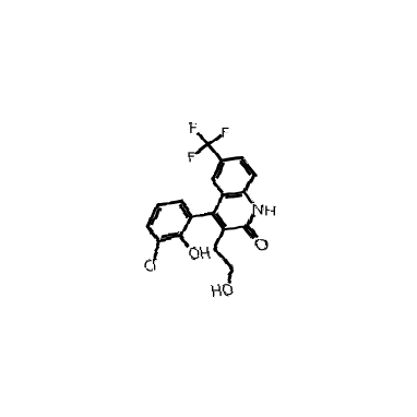 O=c1[nH]c2ccc(C(F)(F)F)cc2c(-c2cccc(Cl)c2O)c1CCO